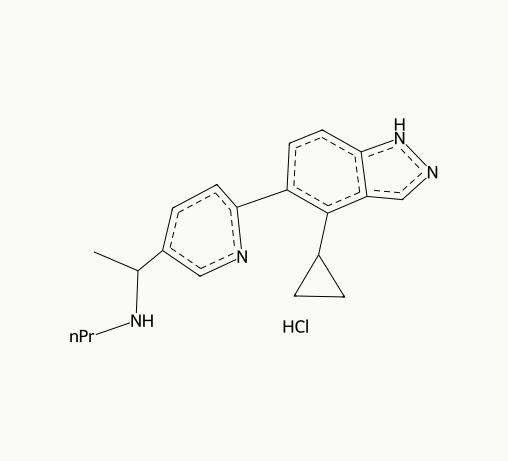 CCCNC(C)c1ccc(-c2ccc3[nH]ncc3c2C2CC2)nc1.Cl